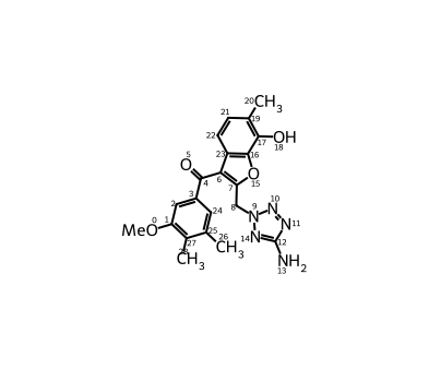 COc1cc(C(=O)c2c(Cn3nnc(N)n3)oc3c(O)c(C)ccc23)cc(C)c1C